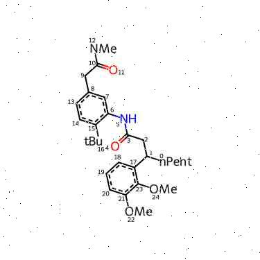 CCCCCC(CC(=O)Nc1cc(CC(=O)NC)ccc1C(C)(C)C)c1cccc(OC)c1OC